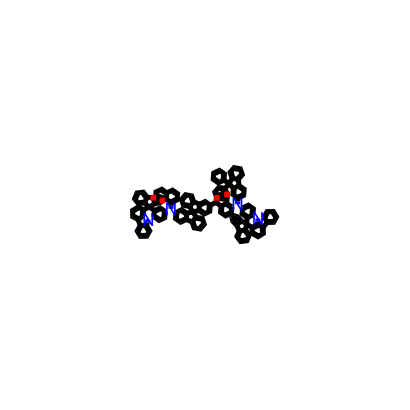 c1ccc(C2(c3ccccc3)c3ccccc3-c3ccc(N(c4ccc5c(c4)C4(c6ccccc6-c6ccccc64)c4cccc6c7ccccc7n-5c46)c4cccc5c(-c6ccc7c(c6)-c6ccccc6C76c7ccccc7-c7ccc(N(c8ccc9c(c8)C8(c%10ccccc%10-c%10ccccc%108)c8cccc%10c%11ccccc%11n-9c8%10)c8cccc9ccccc89)cc76)cccc45)cc32)cc1